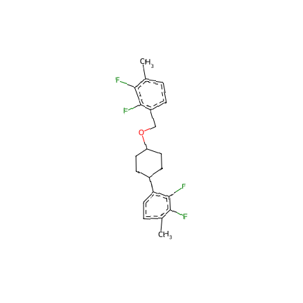 Cc1ccc(COC2CCC(c3ccc(C)c(F)c3F)CC2)c(F)c1F